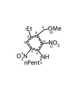 CCCCCNc1c([N+](=O)[O-])cc(CC)c(COC)c1[N+](=O)[O-]